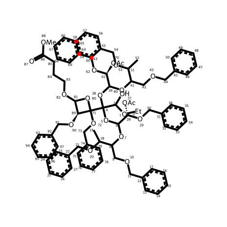 CCOC(O)C(OC(OC(COCc1ccccc1)C(C)OCc1ccccc1)[C@@H](OCc1ccccc1)OC(C)=O)(OC(OC(COCc1ccccc1)C(C)OCc1ccccc1)[C@@H](OCc1ccccc1)OC(C)=O)C1(OCc2ccccc2)OC(OCCCC(=O)OC)[C@@H]1OCc1ccccc1